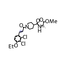 CCOc1ccc(/C=C/C(=O)N2CCC(C(=O)N[C@@H](C)C(=O)OC)CC2)c(Cl)c1Cl